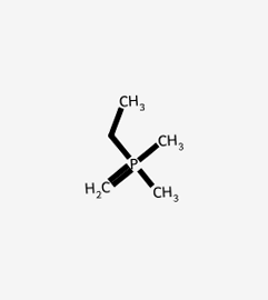 C=P(C)(C)CC